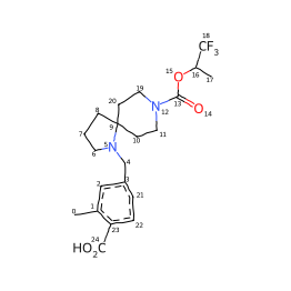 Cc1cc(CN2CCCC23CCN(C(=O)OC(C)C(F)(F)F)CC3)ccc1C(=O)O